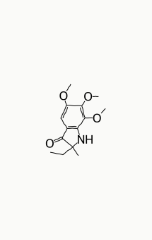 CCC1(C)Nc2c(cc(OC)c(OC)c2OC)C1=O